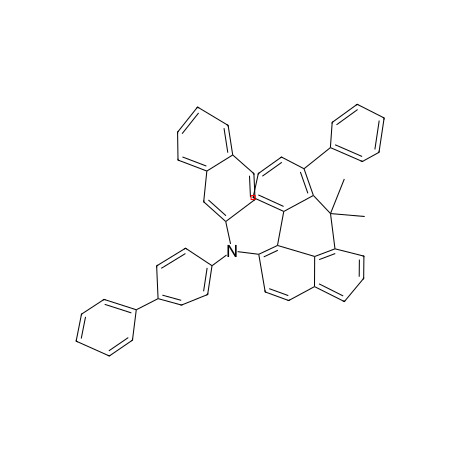 CC1(C)c2c(-c3ccccc3)cccc2-c2c(N(c3ccc(-c4ccccc4)cc3)c3ccc4ccccc4c3)ccc3cccc1c23